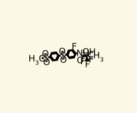 C[C@@](O)(C(=O)Nc1ccc(S(=O)(=O)c2ccc(S(C)(=O)=O)cc2)cc1F)C(F)(F)F